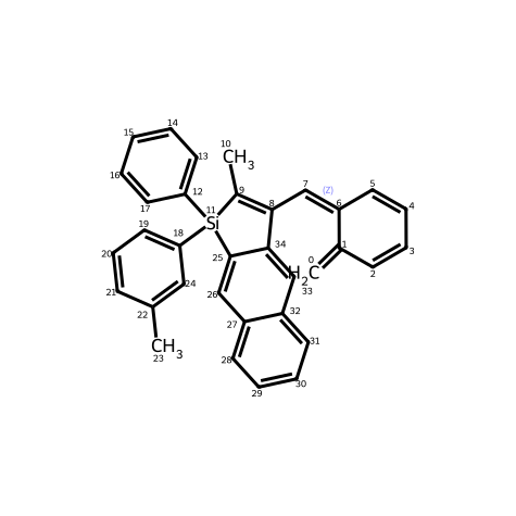 C=c1cccc/c1=C/C1=C(C)[Si](c2ccccc2)(c2cccc(C)c2)c2cc3ccccc3cc21